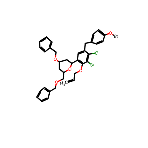 C=CCOc1c(C2CC(OCc3ccccc3)CC(COCc3ccccc3)O2)cc(Cc2ccc(OCC)cc2)c(Cl)c1Br